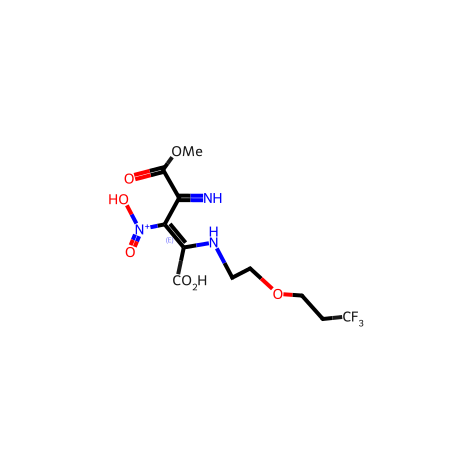 COC(=O)C(=N)/C(=C(\NCCOCCC(F)(F)F)C(=O)O)[N+](=O)O